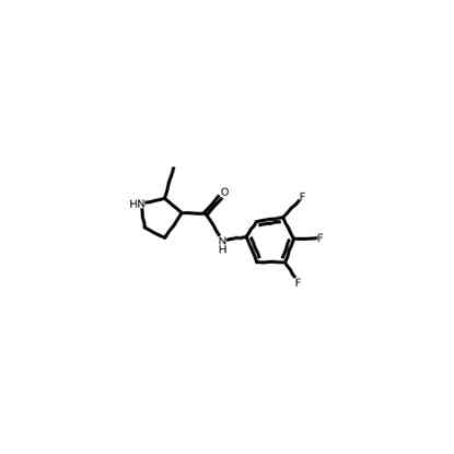 CC1NCCC1C(=O)Nc1cc(F)c(F)c(F)c1